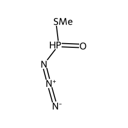 CS[PH](=O)N=[N+]=[N-]